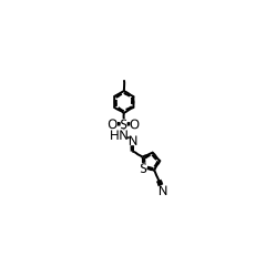 Cc1ccc(S(=O)(=O)NN=Cc2ccc(C#N)s2)cc1